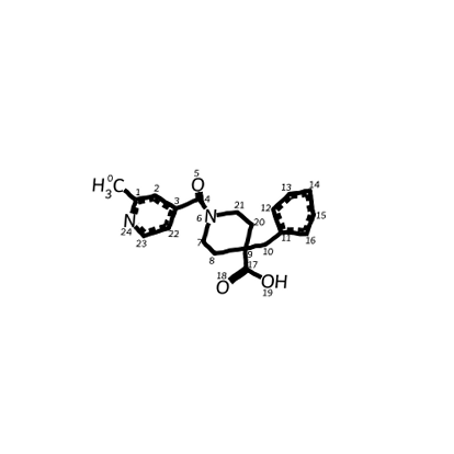 Cc1cc(C(=O)N2CCC(Cc3ccccc3)(C(=O)O)CC2)ccn1